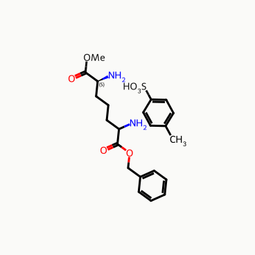 COC(=O)[C@@H](N)CCCC(N)C(=O)OCc1ccccc1.Cc1ccc(S(=O)(=O)O)cc1